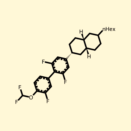 CCCCCCC1CC[C@@H]2C[C@H](c3cc(F)c(-c4ccc(OC(F)F)c(F)c4)c(F)c3)CC[C@@H]2C1